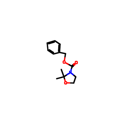 CC1(C)OCCN1C(=O)OCc1ccccc1